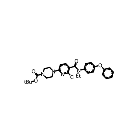 CCN(C(=O)c1ccc(N2CCN(C(=O)OC(C)(C)C)CC2)nc1Cl)c1ccc(Oc2ccccc2)cc1